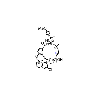 COC1CN(C(=O)N[S@@]2(=O)=NC(=O)c3ccc4c(c3)N(C[C@@H]3CC[C@H]3[C@@H](O)/C=C/C[C@H](C)C2)C[C@@]2(CCCc3cc(Cl)ccc32)CO4)C1